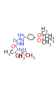 COC(=O)N[C@H](C(=O)NC1(c2ncc(-c3ccc(B4OC(C)(C)C(C)(C)O4)cc3)[nH]2)CC1)C(C)C